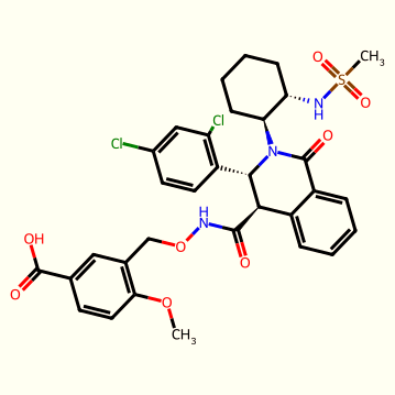 COc1ccc(C(=O)O)cc1CONC(=O)[C@@H]1c2ccccc2C(=O)N([C@H]2CCCC[C@@H]2NS(C)(=O)=O)[C@H]1c1ccc(Cl)cc1Cl